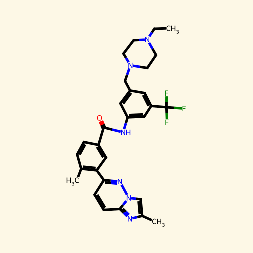 CCN1CCN(Cc2cc(NC(=O)c3ccc(C)c(-c4ccc5nc(C)cn5n4)c3)cc(C(F)(F)F)c2)CC1